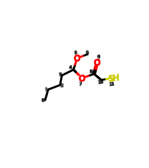 CCCCC(OC)OC(=O)CS